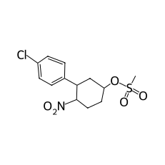 CS(=O)(=O)OC1CCC([N+](=O)[O-])C(c2ccc(Cl)cc2)C1